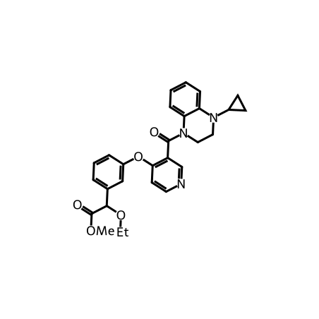 CCOC(C(=O)OC)c1cccc(Oc2ccncc2C(=O)N2CCN(C3CC3)c3ccccc32)c1